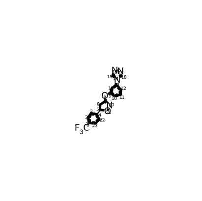 FC(F)(F)c1ccc([C@H]2CC(Oc3cccc(-n4cnnc4)c3)=NO2)cc1